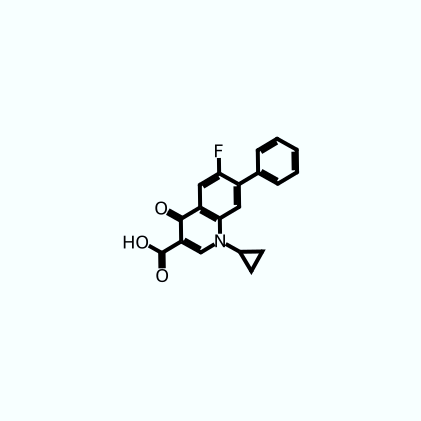 O=C(O)c1cn(C2CC2)c2cc(-c3ccccc3)c(F)cc2c1=O